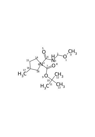 COCNC(=O)[N+]1(C(=O)OC(C)(C)C)CCC(C)C1